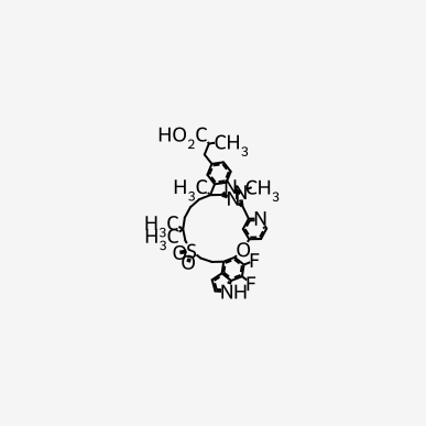 C[C@@H](Cc1cccc([C@@]2(C)CCCC(C)(C)CS(=O)(=O)CCc3c(c(F)c(F)c4[nH]ccc34)Oc3ccnc(c3)-c3nc2nn3C)c1)C(=O)O